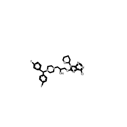 OC(COc1nc2c(Cl)ncnc2n1C1CCCCO1)CN1CCN(C(c2ccc(F)cc2)c2ccc(F)cc2)CC1